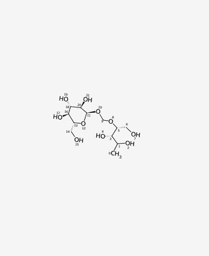 CC(O)[C@H](O)[C@@H](CO)OCO[C@H]1O[C@H](CO)[C@@H](O)[C@H](O)[C@H]1O